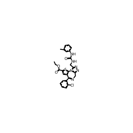 CCOC(=O)c1cc2c(s1)-n1c(nnc1CNC(=O)Nc1cccc(C)c1)CN=C2c1ccccc1Cl